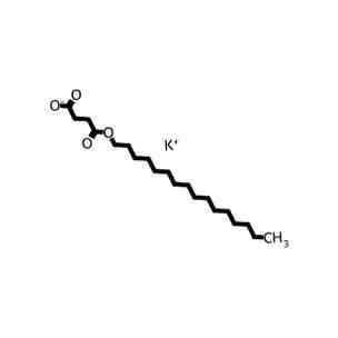 CCCCCCCCCCCCCCCCOC(=O)CCC(=O)[O-].[K+]